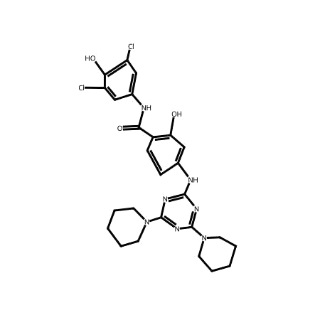 O=C(Nc1cc(Cl)c(O)c(Cl)c1)c1ccc(Nc2nc(N3CCCCC3)nc(N3CCCCC3)n2)cc1O